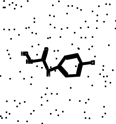 O=C(NO)Nc1ccc(Cl)cc1